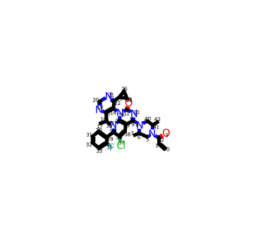 C=CC(=O)N1CC(C)N(c2nc(=O)n(-c3c(C(C)C)ncnc3C3CC3)c3nc(-c4ccccc4F)c(Cl)cc23)CC1C